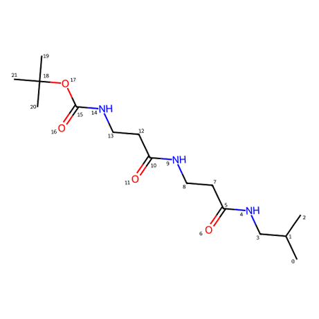 CC(C)CNC(=O)CCNC(=O)CCNC(=O)OC(C)(C)C